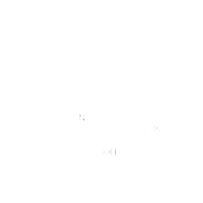 O=CC1=Cc2cccc3c2N(CC3)C1O